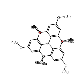 CCCCOc1cc(OCCCC)c(P(c2c(OCCCC)cc(OCCCC)cc2OCCCC)c2c(OCCCC)cc(OCCCC)cc2OCCCC)c(OCCCC)c1